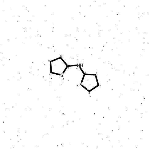 C1CSC(NC2CCCS2)C1